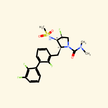 CN(C)C(=O)N1C[C@H](F)[C@H](NS(C)(=O)=O)[C@@H]1Cc1cccc(-c2cccc(F)c2F)c1F